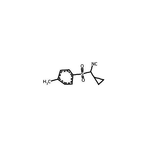 [C-]#[N+]C(C1CC1)S(=O)(=O)c1ccc(C)cc1